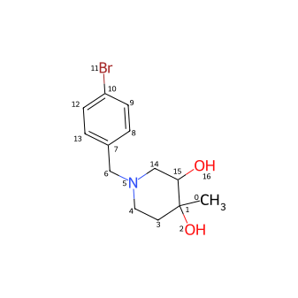 CC1(O)CCN(Cc2ccc(Br)cc2)CC1O